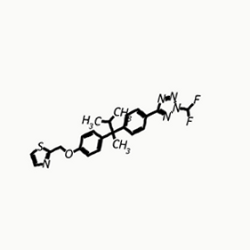 CC(C)C(C)(c1ccc(OCc2nccs2)cc1)c1ccc(-c2nnn(C(F)F)n2)cc1